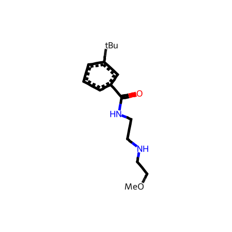 COCCNCCNC(=O)c1cccc(C(C)(C)C)c1